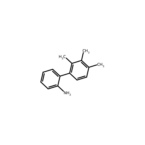 Cc1ccc(-c2ccccc2N)c(C)c1C